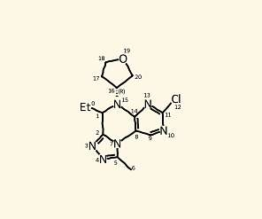 CCC1c2nnc(C)n2-c2cnc(Cl)nc2N1[C@@H]1CCOC1